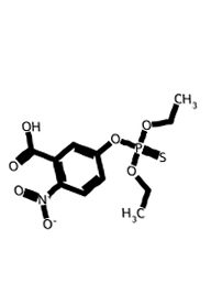 CCOP(=S)(OCC)Oc1ccc([N+](=O)[O-])c(C(=O)O)c1